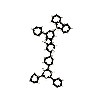 c1ccc(-c2nc(-c3ccccc3)nc(-c3ccc(-c4ccc5c(c4)oc4c(-c6ccccc6)cc(-n6c7ccccc7c7ccccc76)cc45)cc3)n2)cc1